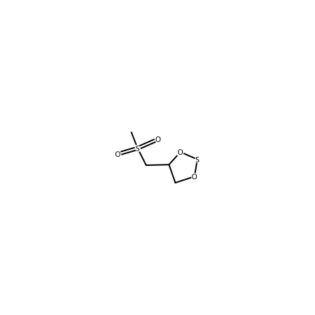 CS(=O)(=O)CC1COSO1